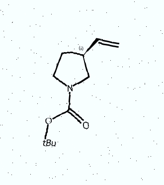 C=C[C@@H]1CCN(C(=O)OC(C)(C)C)C1